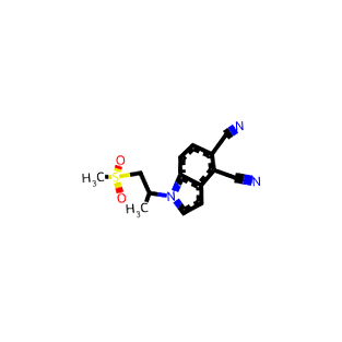 CC(CS(C)(=O)=O)n1ccc2c(C#N)c(C#N)ccc21